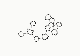 c1ccc(-c2nc(-c3ccccc3)nc(-c3cccc(-c4cccc(-c5ccc6c(c5)C5(c7ccccc7-c7ccccc75)c5ccc7ccccc7c5-6)c4)c3)n2)cc1